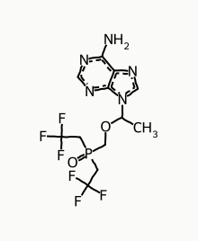 CC(OCP(=O)(CC(F)(F)F)CC(F)(F)F)n1cnc2c(N)ncnc21